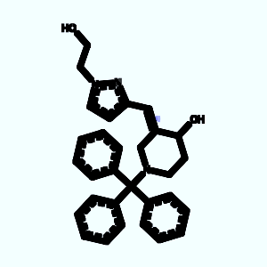 OCCn1ccc(/C=C2\CN(C(c3ccccc3)(c3ccccc3)c3ccccc3)CCC2O)n1